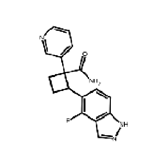 NC(=O)C1(c2cccnc2)CCC1c1ccc2[nH]ncc2c1F